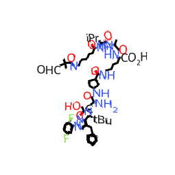 CC(NC(=O)C(NC(=O)CCCCCN(C)C(=O)C(C)(C)CC=O)C(C)C)C(=O)NC(CCCCNC(=O)C1CCC(NC(=O)C(N)CCN(C(=O)CO)C(c2nn(-c3cc(F)ccc3F)cc2Cc2ccccc2)C(C)(C)C)C1)C(=O)O